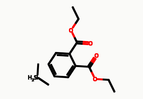 CCOC(=O)c1ccccc1C(=O)OCC.C[SiH2]C